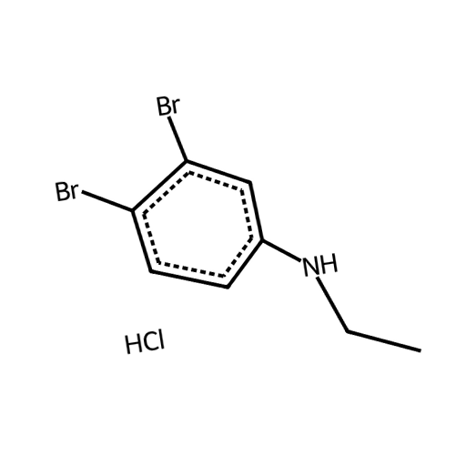 CCNc1ccc(Br)c(Br)c1.Cl